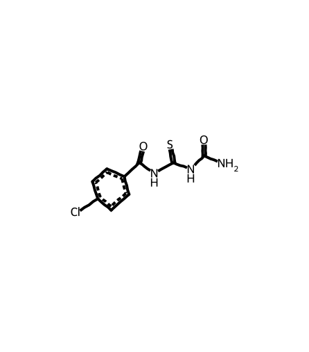 NC(=O)NC(=S)NC(=O)c1ccc(Cl)cc1